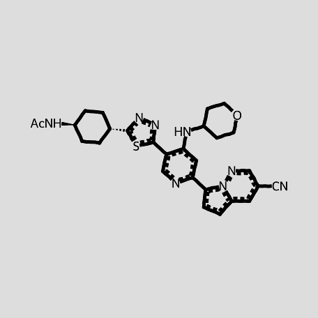 CC(=O)N[C@H]1CC[C@H](c2nnc(-c3cnc(-c4ccc5cc(C#N)cnn45)cc3NC3CCOCC3)s2)CC1